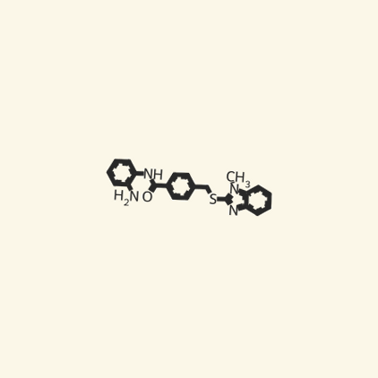 Cn1c(SCc2ccc(C(=O)Nc3ccccc3N)cc2)nc2ccccc21